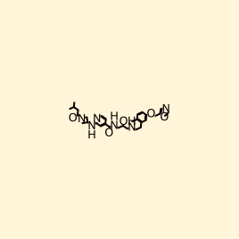 CC(C)CC(=O)N1CC(Nc2cc(C(=O)NC[C@H](O)CN3CCc4cc(OCc5cnco5)ccc4C3)ccn2)C1